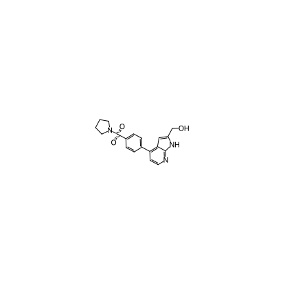 O=S(=O)(c1ccc(-c2ccnc3[nH]c(CO)cc23)cc1)N1CCCC1